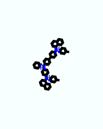 Cc1ccc(N(c2ccc(-c3ccc(N(c4ccccc4)c4ccc(N(c5ccc(C)cc5)c5cccc6ccccc56)cc4)cc3)cc2)c2cccc3ccccc23)cc1